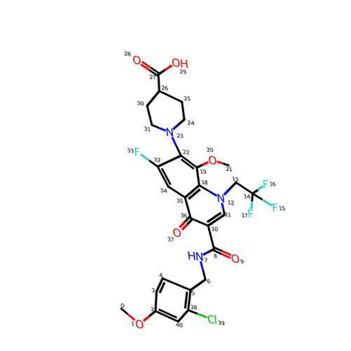 COc1ccc(CNC(=O)c2cn(CC(F)(F)F)c3c(OC)c(N4CCC(C(=O)O)CC4)c(F)cc3c2=O)c(Cl)c1